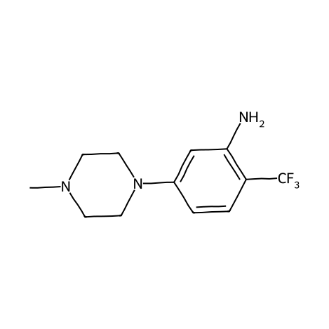 CN1CCN(c2ccc(C(F)(F)F)c(N)c2)CC1